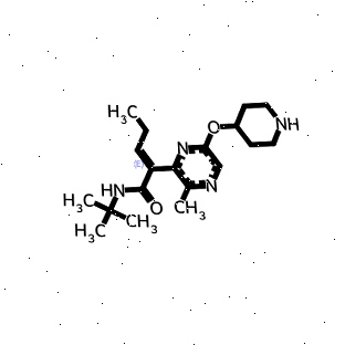 CC/C=C(/C(=O)NC(C)(C)C)c1nc(OC2CCNCC2)cnc1C